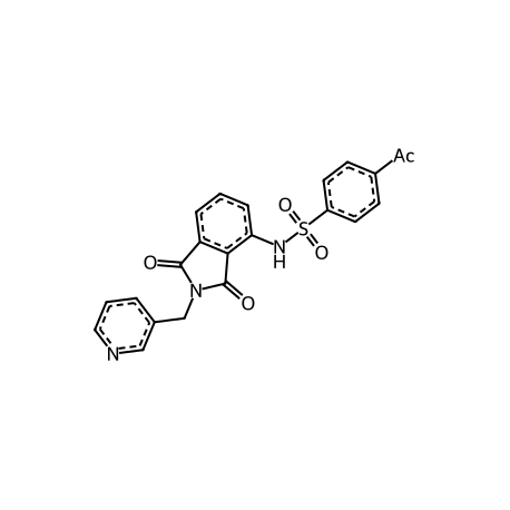 CC(=O)c1ccc(S(=O)(=O)Nc2cccc3c2C(=O)N(Cc2cccnc2)C3=O)cc1